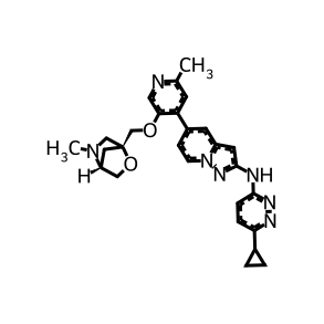 Cc1cc(-c2ccn3nc(Nc4ccc(C5CC5)nn4)cc3c2)c(OC[C@]23C[C@H](CO2)N(C)C3)cn1